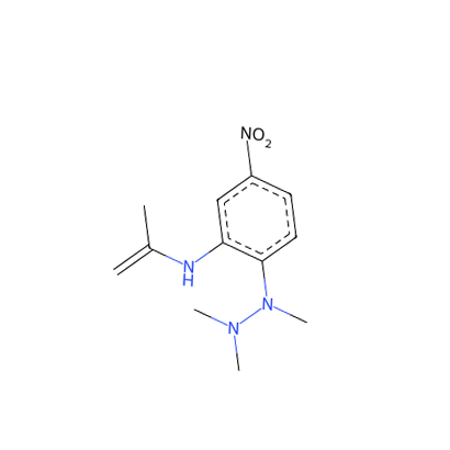 C=C(C)Nc1cc([N+](=O)[O-])ccc1N(C)N(C)C